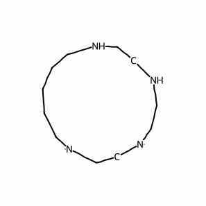 C1CC[N]CC[N]CCNCCNCC1